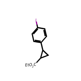 CCOC(=O)C1CC1c1ccc(I)cc1